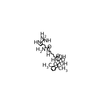 Cc1c(C(O)C(NC(=O)CCCCNC(=O)C(N)CC2=CCNC2C(=N)N)C(=O)O)oc2c(C)cccc12